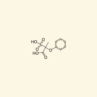 CC(Oc1ccccc1)(C(=O)O)S(=O)(=O)O